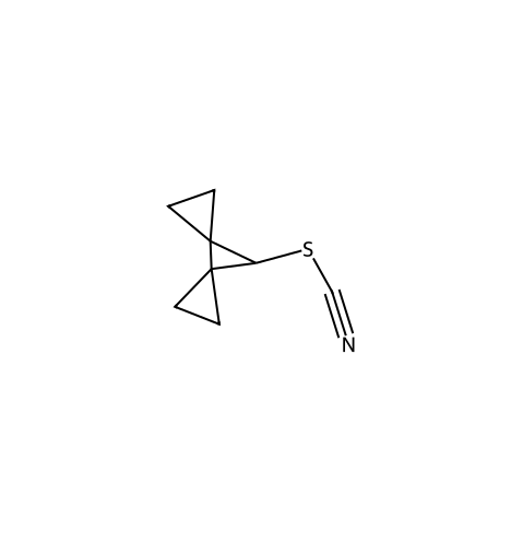 N#CSC1C2(CC2)C12CC2